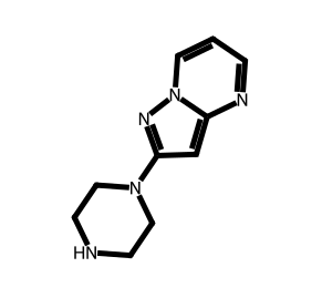 c1cnc2cc(N3CCNCC3)nn2c1